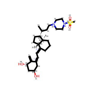 C=C1/C(=C\C=C2/CCC[C@]3(C)[C@@H](C(C)CCN4CCN(S(C)(=O)=O)CC4)CC[C@@H]23)C[C@@H](O)C[C@@H]1O